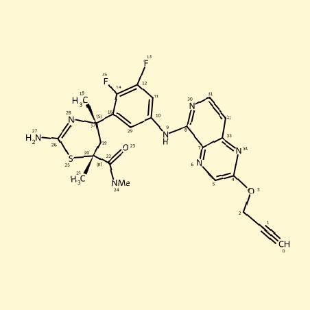 C#CCOc1cnc2c(Nc3cc(F)c(F)c([C@]4(C)C[C@](C)(C(=O)NC)SC(N)=N4)c3)nccc2n1